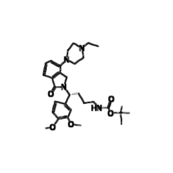 CCN1CCN(c2cccc3c2CN([C@H](CCCNC(=O)OC(C)(C)C)c2ccc(OC)c(OC)c2)C3=O)CC1